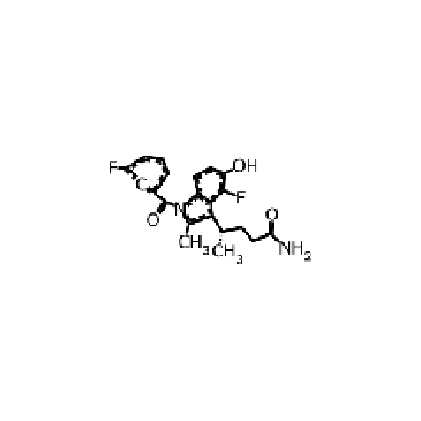 Cc1c([C@@H](C)CCC(N)=O)c2c(F)c(O)ccc2n1C(=O)c1cccc(F)c1